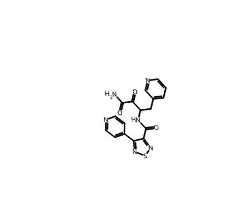 NC(=O)C(=O)C(Cc1cccnc1)NC(=O)c1nsnc1-c1ccncc1